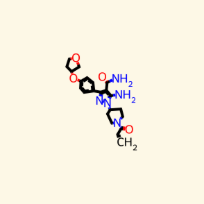 C=CC(=O)N1CCC(n2nc(-c3ccc(OC4CCOC4)cc3)c(C(N)=O)c2N)CC1